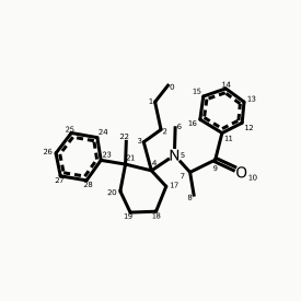 CCCCC1(N(C)C(C)C(=O)c2ccccc2)CCCCC1(C)c1ccccc1